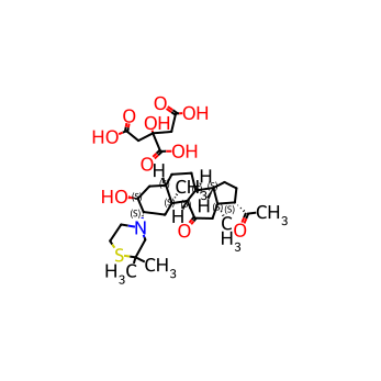 CC(=O)[C@H]1CC[C@H]2[C@@H]3CC[C@H]4C[C@H](O)[C@@H](N5CCSC(C)(C)C5)C[C@]4(C)[C@H]3C(=O)C[C@]12C.O=C(O)CC(O)(CC(=O)O)C(=O)O